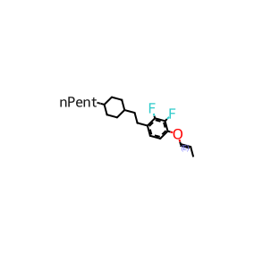 C/C=C/Oc1ccc(CCC2CCC(CCCCC)CC2)c(F)c1F